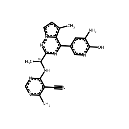 Cc1ccn2nc([C@H](C)Nc3ncnc(N)c3C#N)nc(-c3cnc(O)c(N)c3)c12